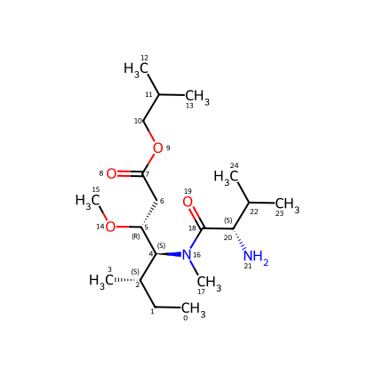 CC[C@H](C)[C@@H]([C@@H](CC(=O)OCC(C)C)OC)N(C)C(=O)[C@@H](N)C(C)C